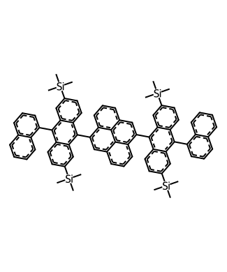 C[Si](C)(C)c1ccc2c(-c3cc4cccc5c(-c6c7ccc([Si](C)(C)C)cc7c(-c7cccc8ccccc78)c7ccc([Si](C)(C)C)cc67)cc6cccc3c6c45)c3cc([Si](C)(C)C)ccc3c(-c3cccc4ccccc34)c2c1